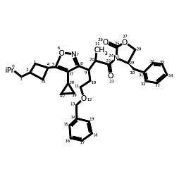 CC(C)CC1CC(c2onc(C(CCOCc3ccccc3)C(C)C(=O)N3C(=O)OC[C@H]3Cc3ccccc3)c2C2CC2)C1